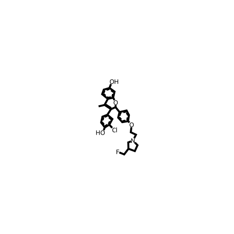 CC1=C(c2ccc(O)c(Cl)c2)C(c2ccc(OCCN3CCC(CF)C3)cc2)Oc2cc(O)ccc21